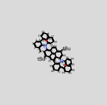 Cc1cccc(-c2ccccc2)c1N(c1ccccc1)c1cc(C(C)(C)C)c2ccc3c(N(c4ccccc4)c4c(C)cccc4-c4ccccc4)cc(C(C)(C)C)c4ccc1c2c34